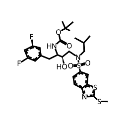 CSc1nc2ccc(S(=O)(=O)N(CC(C)C)C[C@@H](O)C(Cc3cc(F)cc(F)c3)NC(=O)OC(C)(C)C)cc2s1